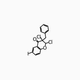 O=C1c2cc(I)ccc2OC(Cl)C1(Cl)Cc1ccccc1